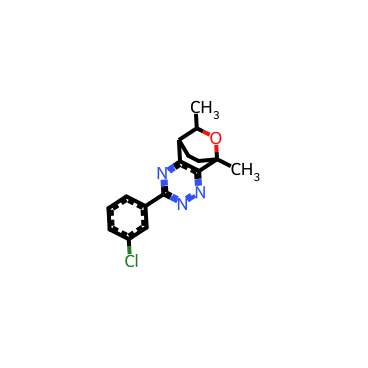 CC1OC2(C)CCC1c1nc(-c3cccc(Cl)c3)nnc12